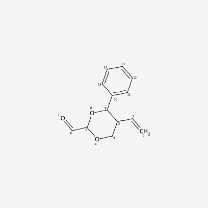 C=CC1COC(C=O)OC1c1ccccc1